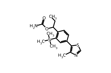 CCC(OC(N)=O)c1ccc(-c2scnc2C)cc1[Si](C)(C)C